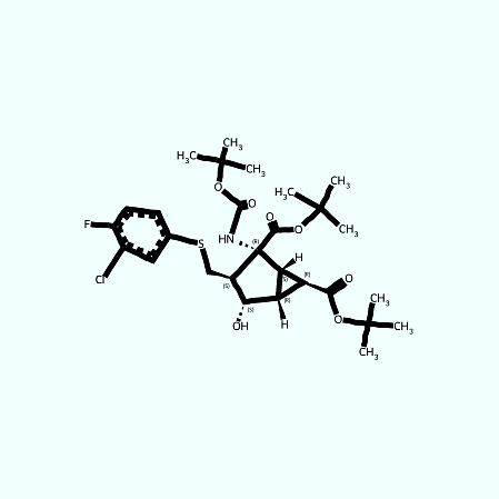 CC(C)(C)OC(=O)N[C@]1(C(=O)OC(C)(C)C)[C@@H]2[C@@H](C(=O)OC(C)(C)C)[C@@H]2[C@H](O)[C@H]1CSc1ccc(F)c(Cl)c1